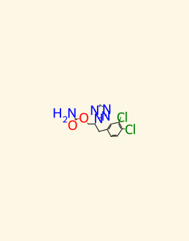 NC(=O)OCC(Cc1ccc(Cl)c(Cl)c1)n1ncnn1